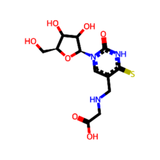 O=C(O)CNCc1cn([C@H]2O[C@@H](CO)C(O)C2O)c(=O)[nH]c1=S